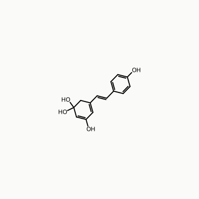 OC1=CC(O)(O)CC(C=Cc2ccc(O)cc2)=C1